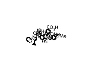 COc1ccc(CN(c2noc3cc(N(C(=O)OC(C)(C)C)c4cc(C5CC5)n(C5CCCCO5)n4)c(OC)cc23)S(=O)(=O)c2c(OC)cc(C(=O)O)cc2OC)cc1